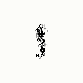 COc1ccc(C(=O)Nc2ccn(C3O[C@@H]4COP(=O)(OC(C)C)O[C@H]4C3(F)F)c(=O)n2)cc1